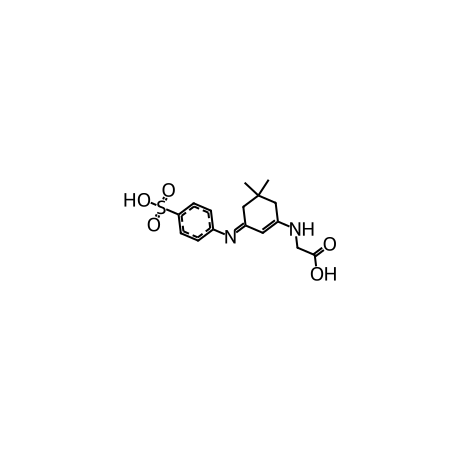 CC1(C)CC(NCC(=O)O)=CC(=Nc2ccc(S(=O)(=O)O)cc2)C1